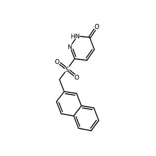 O=c1ccc(S(=O)(=O)Cc2ccc3ccccc3c2)n[nH]1